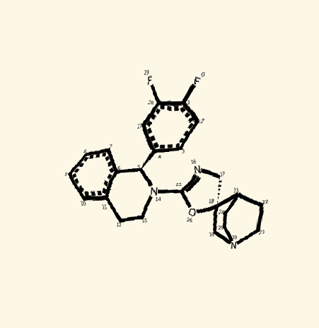 Fc1ccc([C@@H]2c3ccccc3CCN2C2=NC[C@]3(CN4CCC3CC4)O2)cc1F